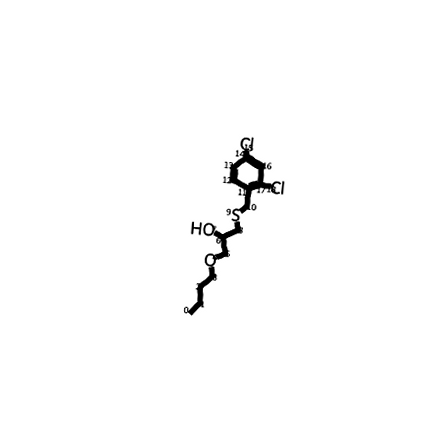 CCCCOCC(O)CSCc1ccc(Cl)cc1Cl